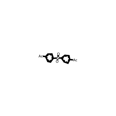 CC(=O)c1ccc(S(=O)(=O)c2ccc(C(C)=O)cc2)cc1